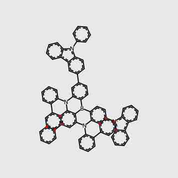 c1ccc(-c2cc3c4c(c2)N(c2ccccc2-c2ccccc2)c2cc(-n5c6ccccc6c6ccccc65)ccc2B4c2ccc(-c4ccc5c(c4)c4ccccc4n5-c4ccccc4)cc2N3c2ccccc2-c2ccccc2)cc1